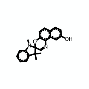 CN1c2ccccc2C(C)(C)C12C=Nc1c(ccc3ccc(O)cc13)O2